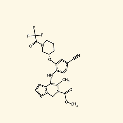 COC(=O)N1Cc2sccc2C(Nc2ccc(C#N)cc2O[C@H]2CCCN(C(=O)C(F)(F)F)C2)=C1C